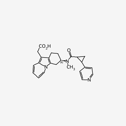 CN(C(=O)C1CC1c1ccncc1)[C@@H]1CCc2c(CC(=O)O)c3ccccn3c2C1